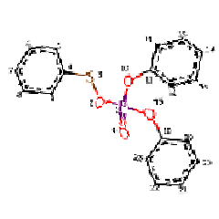 O=P(OSc1ccccc1)(Oc1ccccc1)Oc1ccccc1